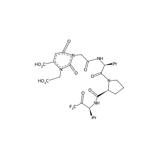 CC(C)[C@H](NC(=O)Cn1c(=O)cc(C(=O)O)n(CC(=O)O)c1=O)C(=O)N1CCC[C@H]1C(=O)N[C@H](C(=O)C(F)(F)F)C(C)C